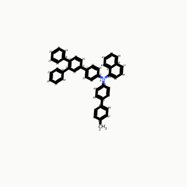 Cc1ccc(-c2ccc(N(c3ccc(-c4ccc(-c5ccccc5)c(-c5ccccc5)c4)cc3)c3cccc4ccccc34)cc2)cc1